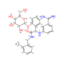 N=C(N)c1cccc(NC(C(=O)NCc2ccccc2C(F)(F)F)c2ccccc2OC2OC(CO)C(O)C(O)C2O)c1